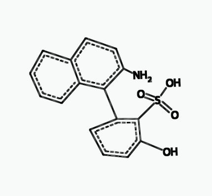 Nc1ccc2ccccc2c1-c1cccc(O)c1S(=O)(=O)O